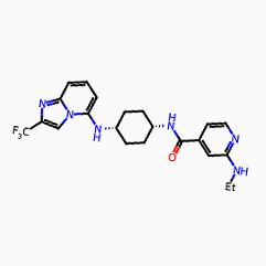 CCNc1cc(C(=O)N[C@H]2CC[C@@H](Nc3cccc4nc(C(F)(F)F)cn34)CC2)ccn1